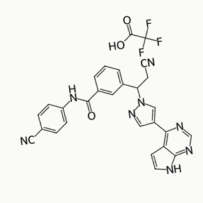 N#CCC(c1cccc(C(=O)Nc2ccc(C#N)cc2)c1)n1cc(-c2ncnc3[nH]ccc23)cn1.O=C(O)C(F)(F)F